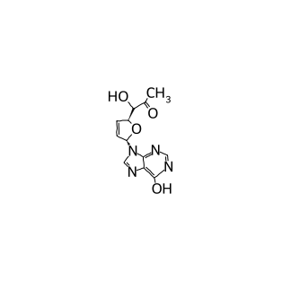 CC(=O)C(O)[C@@H]1C=C[C@H](n2cnc3c(O)ncnc32)O1